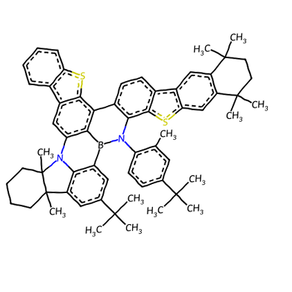 Cc1cc(C(C)(C)C)ccc1N1B2c3cc(C(C)(C)C)cc4c3N(c3cc5c(sc6ccccc65)c(c32)-c2ccc3c(sc5cc6c(cc53)C(C)(C)CCC6(C)C)c21)C1(C)CCCCC41C